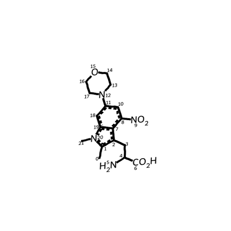 Cc1c(CC(N)C(=O)O)c2c([N+](=O)[O-])cc(N3CCOCC3)cc2n1C